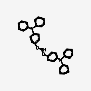 B(Oc1ccc(N(c2ccccc2)c2ccccc2)cc1)Oc1ccc(N(c2ccccc2)c2ccccc2)cc1